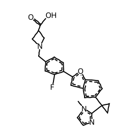 Cn1ccnc1C1(c2ccc3oc(-c4ccc(CN5CC(C(=O)O)C5)cc4F)cc3c2)CC1